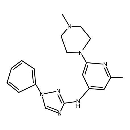 Cc1cc(Nc2ncn(-c3ccccc3)n2)cc(N2CCN(C)CC2)n1